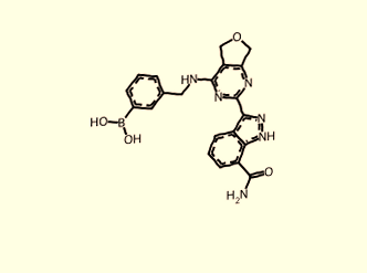 NC(=O)c1cccc2c(-c3nc4c(c(NCc5cccc(B(O)O)c5)n3)COC4)n[nH]c12